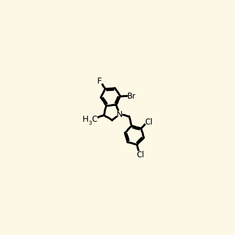 CC1CN(Cc2ccc(Cl)cc2Cl)c2c(Br)cc(F)cc21